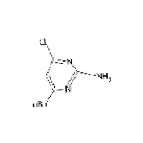 CCCCc1cc(Cl)nc(N)n1